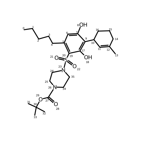 CCCCCc1cc(O)c(C2C=C(C)CCC2)c(O)c1S(=O)(=O)N1CCN(C(=O)OC(C)(C)C)CC1